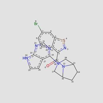 O=C(c1nsc2cc(Br)ccc12)N1C2CCC1CN(c1ncnc3[nH]ccc13)C2